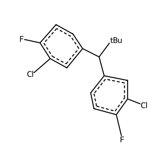 CC(C)(C)C(c1ccc(F)c(Cl)c1)c1ccc(F)c(Cl)c1